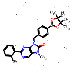 CC(C)c1ccccc1-c1ncc2c(n1)n(Cc1ccc(B3OC(C)(C)C(C)(C)O3)cc1)c(=O)n2C